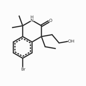 CCC1(CCO)C(=O)NC(C)(C)c2ccc(Br)cc21